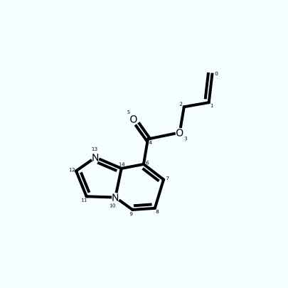 C=CCOC(=O)c1cccn2ccnc12